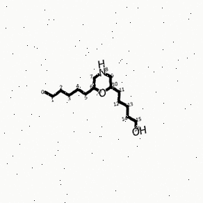 CCCCCCC1CNCC(CCCCCO)O1